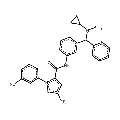 CN(C1CC1)C(c1cccc(NC(=O)c2cc(C(F)(F)F)nn2-c2cccc(C#N)c2)c1)c1ccccn1